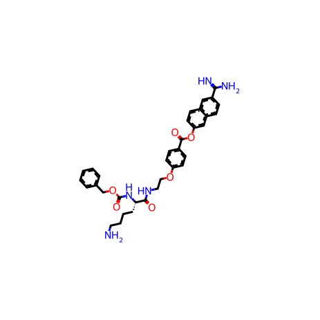 N=C(N)c1ccc2cc(OC(=O)c3ccc(OCCNC(=O)[C@H](CCCCN)NC(=O)OCc4ccccc4)cc3)ccc2c1